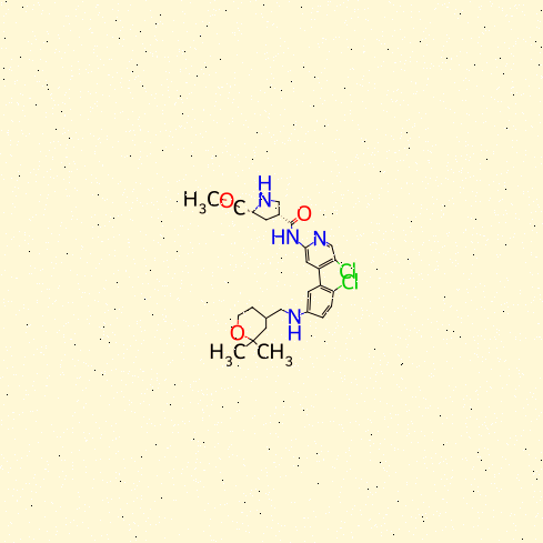 COC[C@H]1C[C@@H](C(=O)Nc2cc(-c3cc(NCC4CCOC(C)(C)C4)ccc3Cl)c(Cl)cn2)CN1